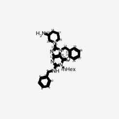 CCCCCCn1c(NCc2ccccc2)nc2nc(N3CCCC(N)C3)n(Cc3ccccc3)c2c1=O